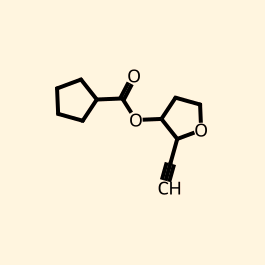 C#CC1OCCC1OC(=O)C1CCCC1